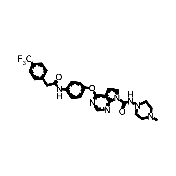 CN1CCN(NC(=O)n2ccc3c(Oc4ccc(NC(=O)Cc5ccc(C(F)(F)F)cc5)cc4)ncnc32)CC1